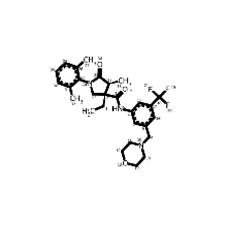 CC[C@@]1(C(=O)Nc2cc(CN3CCOCC3)cc(C(F)(F)F)c2)CN(c2c(C)cccc2C)C(=O)[C@H]1C